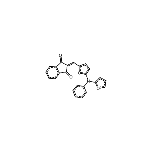 O=C1C(=Cc2ccc(N(c3ccccc3)c3ccco3)o2)C(=O)c2ccccc21